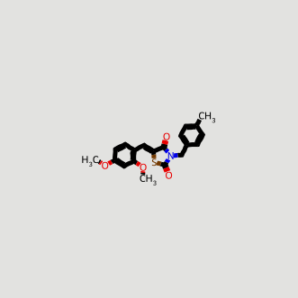 COc1ccc(/C=C2\SC(=O)N(Cc3ccc(C)cc3)C2=O)c(OC)c1